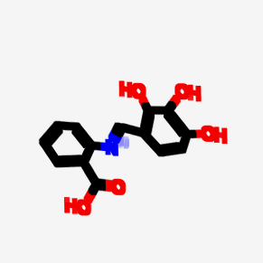 O=C(O)c1ccccc1/N=C/c1ccc(O)c(O)c1O